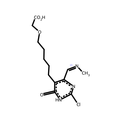 C/N=C\c1nc(Cl)[nH]c(=O)c1CCCCCOCC(=O)O